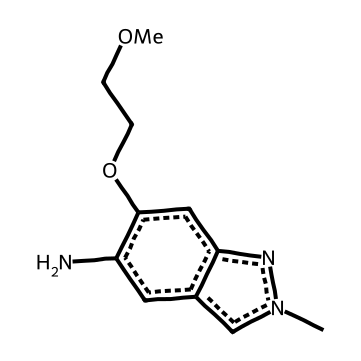 COCCOc1cc2nn(C)cc2cc1N